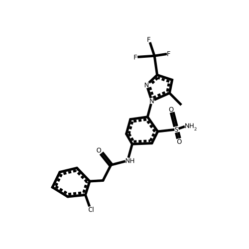 Cc1cc(C(F)(F)F)nn1-c1ccc(NC(=O)Cc2ccccc2Cl)cc1S(N)(=O)=O